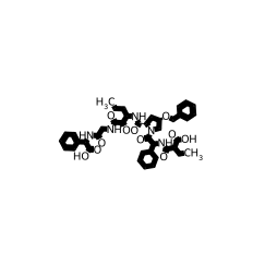 CCCC(NC(=O)[C@@H]1C[C@@H](OCc2ccccc2)CN1C(=O)C(NC(=O)C(CC)C(=O)O)C1CCCCC1)C(=O)C(=O)NCC(=O)NC(C(=O)O)c1ccccc1